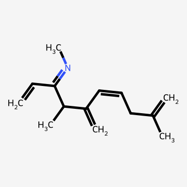 C=C/C(=N\C)C(C)C(=C)/C=C\CC(=C)C